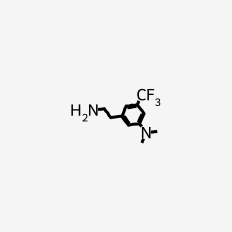 CN(C)c1cc(CCN)cc(C(F)(F)F)c1